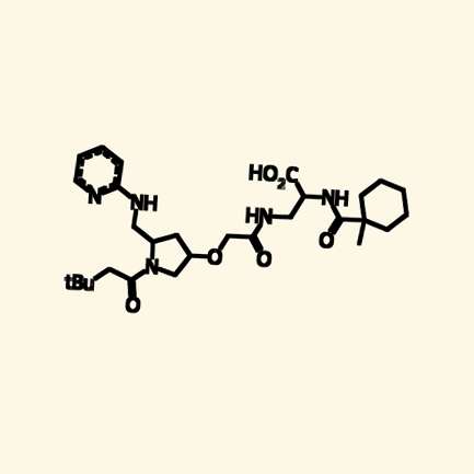 CC(C)(C)CC(=O)N1CC(OCC(=O)NCC(NC(=O)C2(C)CCCCC2)C(=O)O)CC1CNc1ccccn1